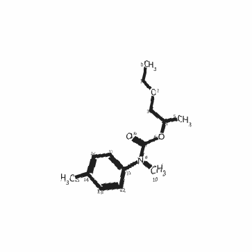 CCOCC(C)OC(=O)N(C)c1ccc(C)cc1